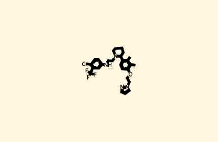 Cc1c(OCCn2cccn2)ccc(C2CCCCN2CCNc2ccc(Cl)c(C(F)(F)F)c2)c1C